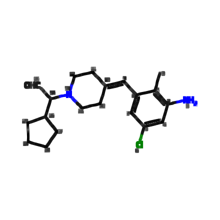 Cc1c(N)cc(Cl)cc1C=C1CCN(C(C=O)C2CCCC2)CC1